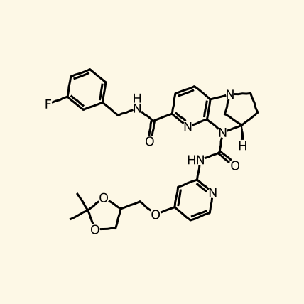 CC1(C)OCC(COc2ccnc(NC(=O)N3c4nc(C(=O)NCc5cccc(F)c5)ccc4N4CC[C@H]3C4)c2)O1